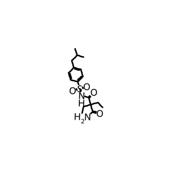 CCC(CC)(C(N)=O)C(=O)NS(=O)(=O)c1ccc(CC(C)C)cc1